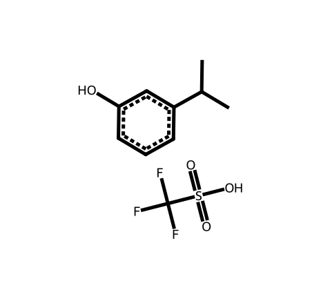 CC(C)c1cccc(O)c1.O=S(=O)(O)C(F)(F)F